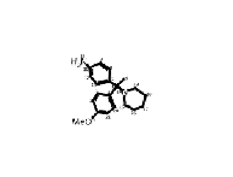 COc1ccc(C(C)(c2ccc(N)cc2)N2CCCCC2)cc1